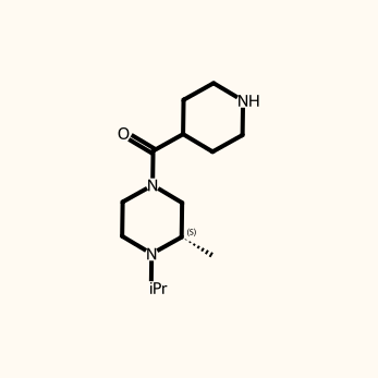 CC(C)N1CCN(C(=O)C2CCNCC2)C[C@@H]1C